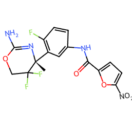 C[C@]1(c2cc(NC(=O)c3ccc([N+](=O)[O-])o3)ccc2F)N=C(N)OCC1(F)F